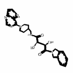 O=C(NCC1CCN(c2ncnc3ccsc23)CC1)[C@H](O)[C@@H](O)C(=O)N1Cc2ccccc2C1